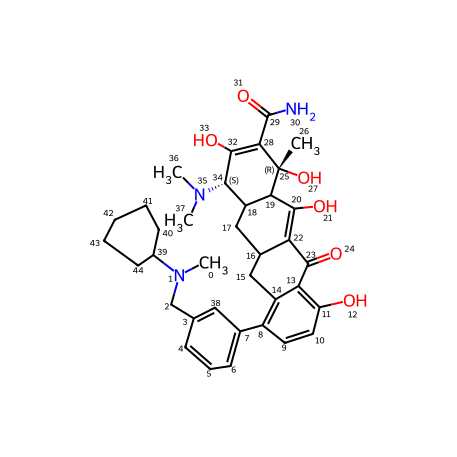 CN(Cc1cccc(-c2ccc(O)c3c2CC2CC4C(C(O)=C2C3=O)[C@@](C)(O)C(C(N)=O)=C(O)[C@H]4N(C)C)c1)C1CCCCC1